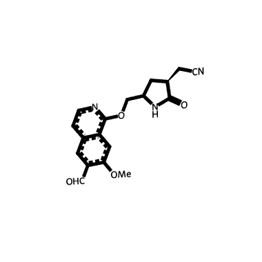 COc1cc2c(OCC3C[C@@H](CC#N)C(=O)N3)nccc2cc1C=O